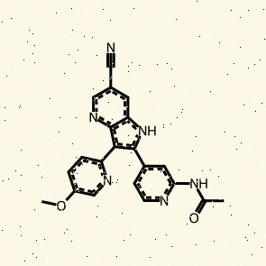 COc1ccc(-c2c(-c3ccnc(NC(C)=O)c3)[nH]c3cc(C#N)cnc23)nc1